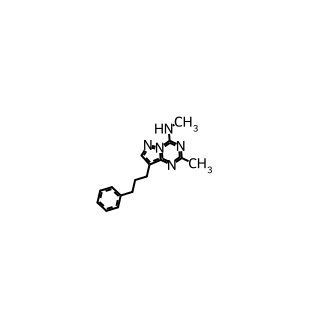 CNc1nc(C)nc2c(CCCc3ccccc3)cnn12